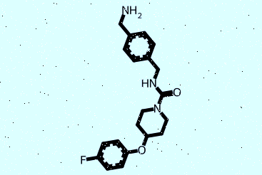 NCc1ccc(CNC(=O)N2CCC(Oc3ccc(F)cc3)CC2)cc1